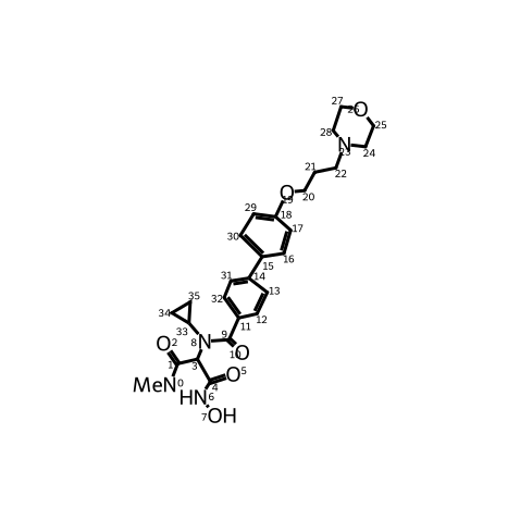 CNC(=O)C(C(=O)NO)N(C(=O)c1ccc(-c2ccc(OCCCN3CCOCC3)cc2)cc1)C1CC1